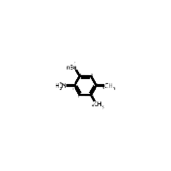 CCCCc1cc(C)c(C)cc1N